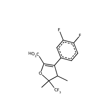 CC1C(c2ccc(F)c(F)c2)=C(C(=O)O)OC1(C)C(F)(F)F